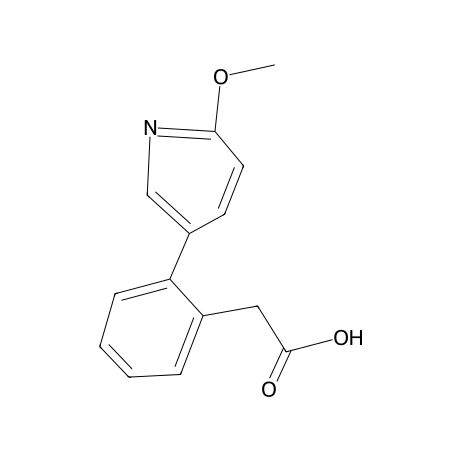 COc1ccc(-c2ccccc2CC(=O)O)cn1